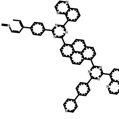 C=N/C=C\C(=C/C)c1ccc(-c2nc(-c3ccc4ccc5c(-c6nc(-c7ccc(-c8ccncc8)cc7)nc(-c7cccc8nccnc78)n6)ccc6ccc3c4c65)nc(-c3cccc4nccnc34)n2)cc1